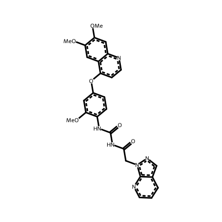 COc1cc(Oc2ccnc3cc(OC)c(OC)cc23)ccc1NC(=O)NC(=O)Cn1ncc2cccnc21